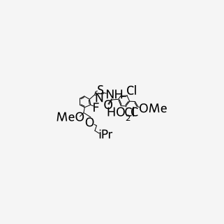 CO/C(=C/c1c(Cl)cc(C(=O)Nc2nc(-c3cccc(C(COCCC(C)C)OC)c3F)cs2)cc1Cl)C(=O)O